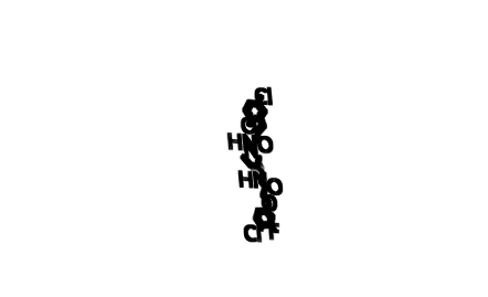 O=C(COc1ccc(Cl)c(F)c1)NC[C@H]1CCN(NC(=O)c2cc3cc(Cl)ccc3o2)C1